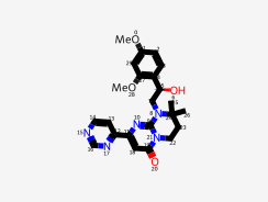 COc1ccc([C@@H](O)CN2c3nc(-c4ccncn4)cc(=O)n3CCC2(C)C)c(OC)c1